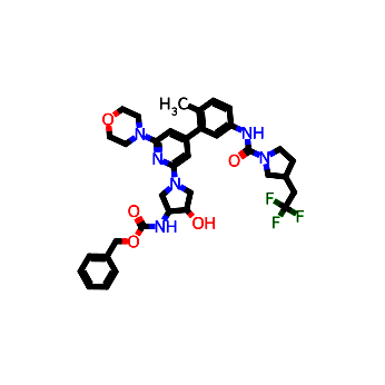 Cc1ccc(NC(=O)N2CCC(CC(F)(F)F)C2)cc1-c1cc(N2CCOCC2)nc(N2CC(O)C(NC(=O)OCc3ccccc3)C2)c1